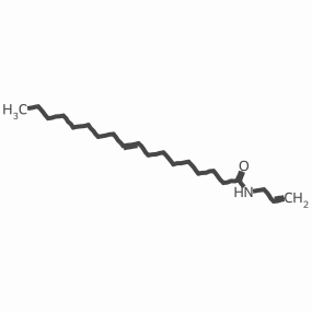 C=CCNC(=O)CCCCCCCC=CCCCCCCCC